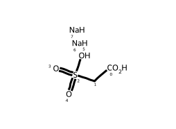 O=C(O)CS(=O)(=O)O.[NaH].[NaH]